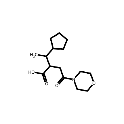 CC(C1CCCC1)C(CC(=O)N1CCOCC1)C(=O)O